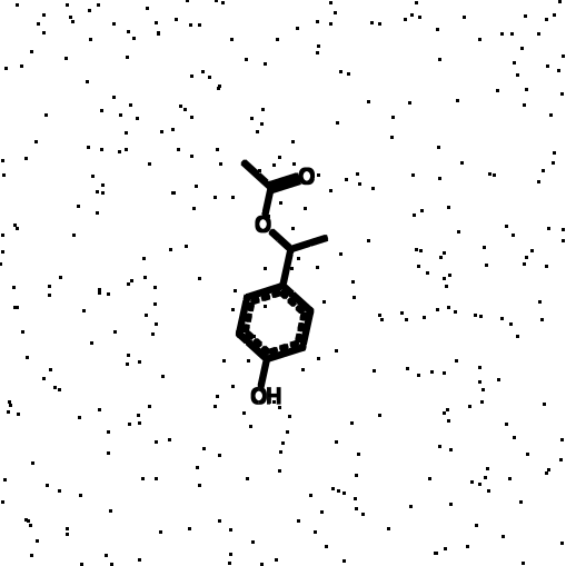 CC(=O)OC(C)c1ccc(O)cc1